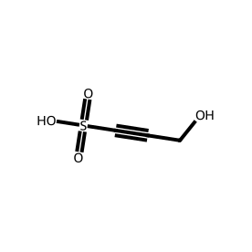 O=S(=O)(O)C#CCO